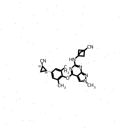 Cc1cc([C@@H]2C[C@H]2C#N)cc(C)c1Oc1nc(NC23CC(C#N)(C2)C3)nc2nn(C)cc12